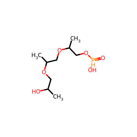 CC(O)COC(C)COC(C)CO[PH](=O)O